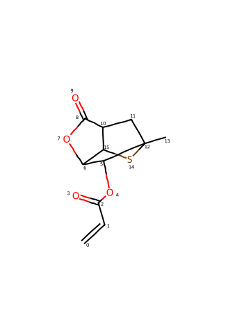 C=CC(=O)OC1C2OC(=O)C3CC1(C)SC32